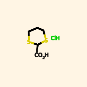 Cl.O=C(O)C1SCCCS1